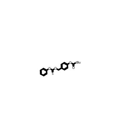 CC(C)(C)C(=O)Oc1ccc(COC(=S)Oc2ccccc2)cc1